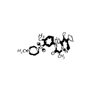 Cc1ccc(NC(=O)[C@@H](C)n2ncc(Cl)c(Cl)c2=O)cc1S(=O)(=O)N1CCCN(C)CC1